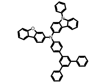 c1ccc(-c2cc(-c3ccccc3)cc(-c3ccc(N(c4ccc5c(c4)oc4ccccc45)c4ccc5c(c4)c4ccccc4n5-c4ccccc4)cc3)c2)cc1